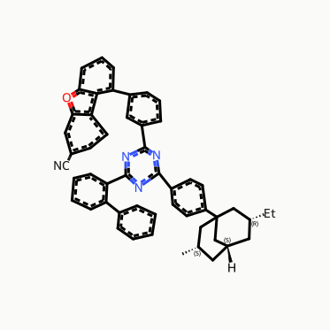 CC[C@@H]1C[C@@H]2C[C@H](C)CC(c3ccc(-c4nc(-c5cccc(-c6cccc7oc8cc(C#N)ccc8c67)c5)nc(-c5ccccc5-c5ccccc5)n4)cc3)(C1)C2